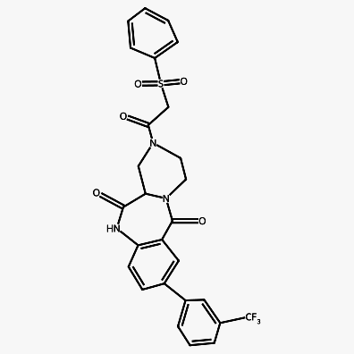 O=C1Nc2ccc(-c3cccc(C(F)(F)F)c3)cc2C(=O)N2CCN(C(=O)CS(=O)(=O)c3ccccc3)CC12